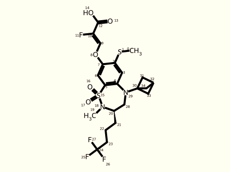 CSc1cc2c(cc1O/C=C(\F)C(=O)O)S(=O)(=O)N(C)[C@H](CCCC(F)(F)F)CN2C12CC(C1)C2